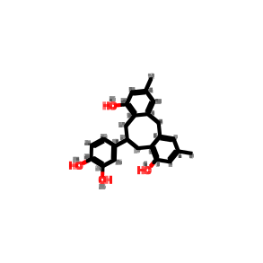 Cc1cc(O)c2c(c1)Cc1cc(C)cc(O)c1CC(c1ccc(O)c(O)c1)C2